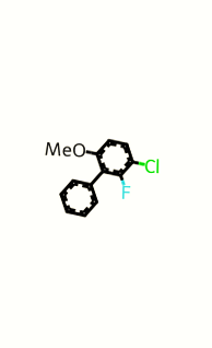 COc1ccc(Cl)c(F)c1-c1ccccc1